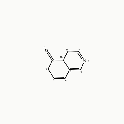 O=C1CC=CC2=CN=CCC12